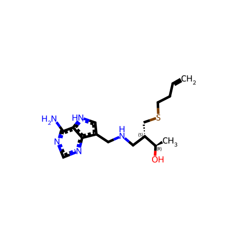 C=CCCSC[C@@H](CNCc1c[nH]c2c(N)ncnc12)[C@@H](C)O